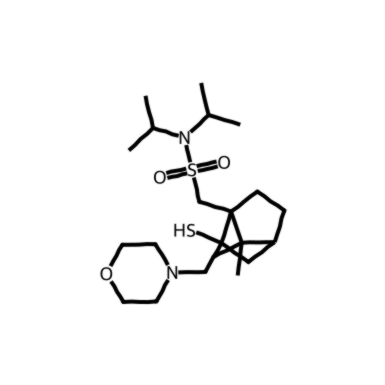 CC(C)N(C(C)C)S(=O)(=O)CC12CCC(CC1(S)CN1CCOCC1)C2(C)C